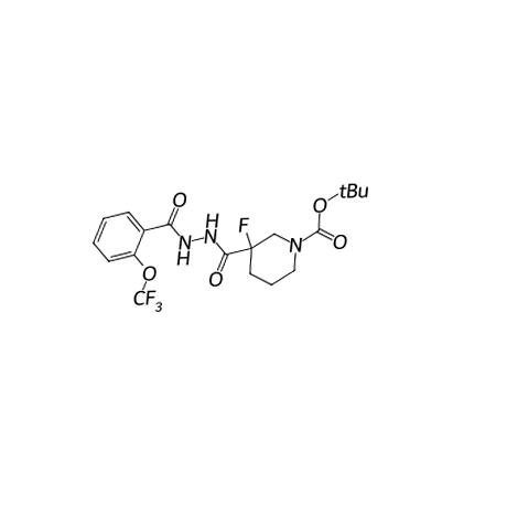 CC(C)(C)OC(=O)N1CCCC(F)(C(=O)NNC(=O)c2ccccc2OC(F)(F)F)C1